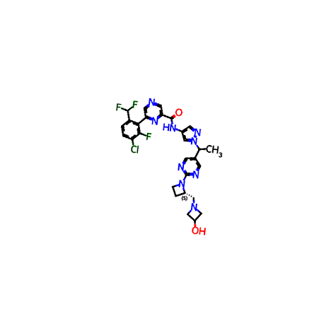 CC(c1cnc(N2CC[C@H]2CN2CC(O)C2)nc1)n1cc(NC(=O)c2cncc(-c3c(C(F)F)ccc(Cl)c3F)n2)cn1